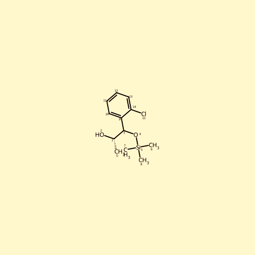 C[C@H](O)C(O[Si](C)(C)C)c1ccccc1Cl